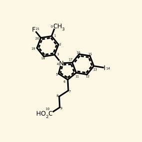 Cc1cc(-n2cc(CCCC(=O)O)c3cc(I)ccc32)ccc1F